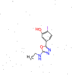 CCNc1nnc(-c2ccc(I)c(O)c2)o1